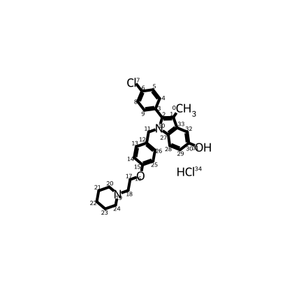 Cc1c(-c2ccc(Cl)cc2)n(Cc2ccc(OCCN3CCCCC3)cc2)c2ccc(O)cc12.Cl